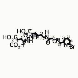 O=C(O)CCC(NC(=O)NC(CCCCNC(=O)CO/N=C/c1cccc(Br)n1)C(=O)O)C(=O)O